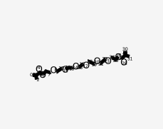 C=C(C)C(=O)OCCOCCOCCOCCOCCOCCOCCOC(=O)C(=C)C